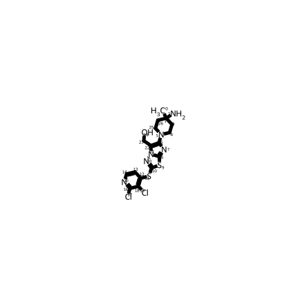 CC1(N)CCN(c2nc3sc(Sc4ccnc(Cl)c4Cl)nn3c2CO)CC1